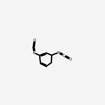 O=C=NC1=CC(N=C=O)CC=C1